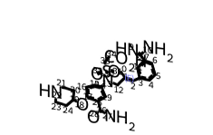 C/C(=C\c1cccc(C(=N)N)c1)CN(c1ccc(OC2CCNCC2)c(C(N)=O)c1)S(=O)(=O)CC(=O)O